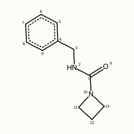 O=C(NCc1ccccc1)N1CCC1